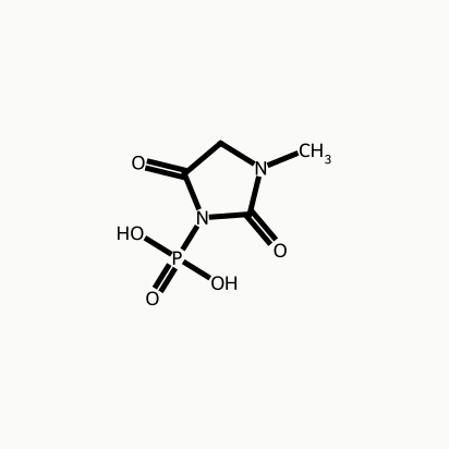 CN1CC(=O)N(P(=O)(O)O)C1=O